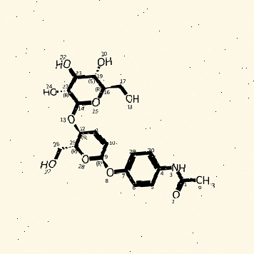 CC(=O)Nc1ccc(O[C@@H]2C=C[C@H](OC3O[C@H](CO)[C@@H](O)C(O)[C@H]3O)[C@@H](CO)O2)cc1